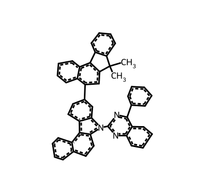 CC1(C)c2ccccc2-c2c1cc(-c1ccc3c4c5ccccc5ccc4n(-c4nc(-c5ccccc5)c5ccccc5n4)c3c1)c1ccccc21